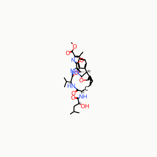 COC(=O)c1nc(-c2nc3oc2[C@@]24c5ccccc5NC2Oc2ccc(cc24)C[C@H](NC(=O)[C@@H](O)CC(C)C)C(=O)N[C@H]3C(C)C)oc1C